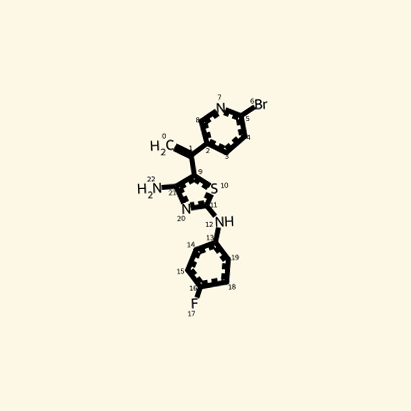 C=C(c1ccc(Br)nc1)c1sc(Nc2ccc(F)cc2)nc1N